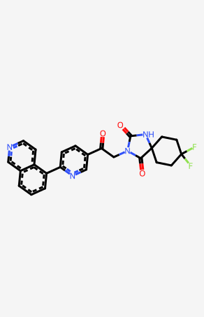 O=C(CN1C(=O)NC2(CCC(F)(F)CC2)C1=O)c1ccc(-c2cccc3cnccc23)nc1